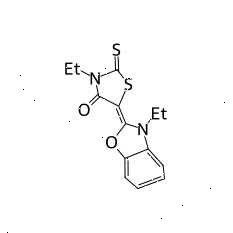 CCN1C(=O)C(=C2Oc3ccccc3N2CC)SC1=S